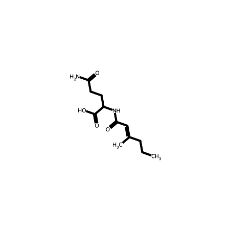 CCC/C(C)=C/C(=O)NC(CCC(N)=O)C(=O)O